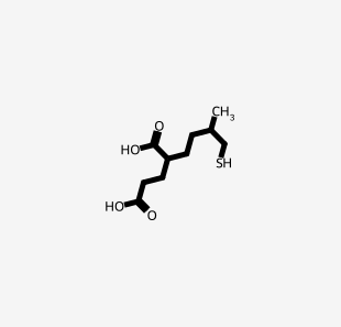 CC(CS)CCC(CCC(=O)O)C(=O)O